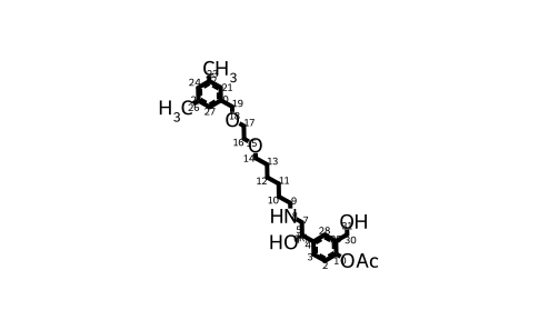 CC(=O)Oc1ccc([C@@H](O)CNCCCCCCOCCOCc2cc(C)cc(C)c2)cc1CO